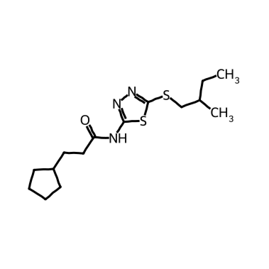 CCC(C)CSc1nnc(NC(=O)CCC2CCCC2)s1